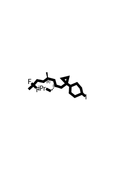 CC(C)C[C@H](C[C@H](C)CCC(C)(F)F)CC1(C2CCC(I)CC2)CC1